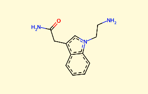 NCCn1cc(CC(N)=O)c2ccccc21